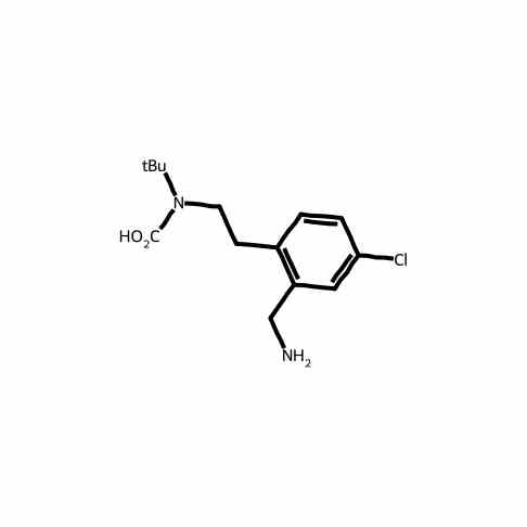 CC(C)(C)N(CCc1ccc(Cl)cc1CN)C(=O)O